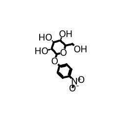 O=[N+]([O-])c1ccc(OC2OC(CO)[C@H](O)[C@@H](O)[C@@H]2O)cc1